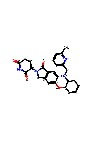 Cc1cccc(CNC2CCCCC2Oc2ccc3c(c2)CN(C2CCC(=O)NC2=O)C3=O)n1